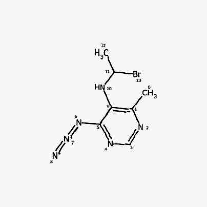 Cc1ncnc(N=[N+]=[N-])c1NC(C)Br